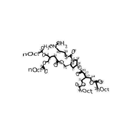 CCCCCCCCC(=O)OCC(COC(=O)CCCCCCCC)CC(=O)OC[C@@H]1C[C@@H](OC(=O)CC(COC(=O)CCCCCCCC)COC(=O)CCCCCCCC)CN1C(=O)SCCN(C)C